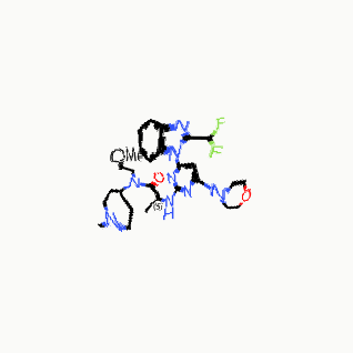 COCCN(C(=O)[C@H](C)Nc1nc(N2CCOCC2)cc(-n2c(C(F)F)nc3ccccc32)n1)C1CCN(C)CC1